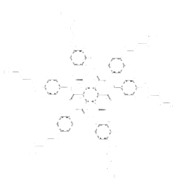 CCCCOc1ccc(OC(=O)c2c(C(=O)Oc3ccc(OCCCC)cc3)c(C(=O)Oc3ccc(OCCCC)cc3)c(C(=O)Oc3ccc(OCCCC)cc3)c(C(=O)Oc3ccc(OCCCC)cc3)c2C(=O)Oc2ccc(OCCCC)cc2)cc1